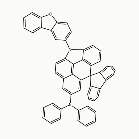 c1ccc(N(c2ccccc2)c2cc3c4c(ccc5c4c4c(cccc4n5-c4ccc5oc6ccccc6c5c4)C34c3ccccc3-c3ccccc34)c2)cc1